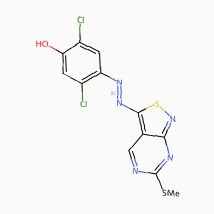 CSc1ncc2c(/N=N/c3cc(Cl)c(O)cc3Cl)snc2n1